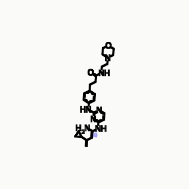 C=C(/C=C(\N)Nc1ccnc(Nc2ccc(CCC(=O)NCCN3CCOCC3)cc2)n1)C1CC1